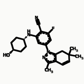 Cc1nn(-c2cc(F)c(C#N)c(N[C@H]3CC[C@H](O)CC3)c2)c2c1C=CC(C)(C)C2